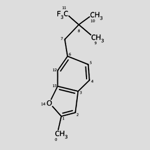 Cc1cc2ccc(CC(C)(C)C(F)(F)F)cc2o1